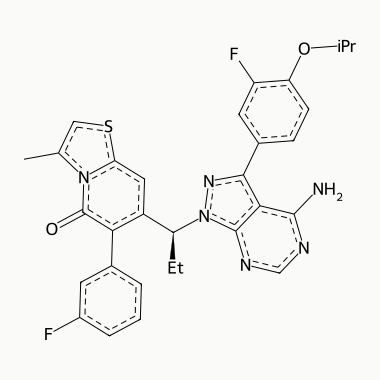 CC[C@@H](c1cc2scc(C)n2c(=O)c1-c1cccc(F)c1)n1nc(-c2ccc(OC(C)C)c(F)c2)c2c(N)ncnc21